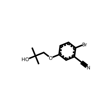 CC(C)(O)COc1ccc(Br)c(C#N)c1